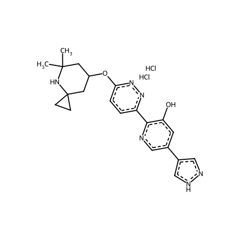 CC1(C)CC(Oc2ccc(-c3ncc(-c4cn[nH]c4)cc3O)nn2)CC2(CC2)N1.Cl.Cl